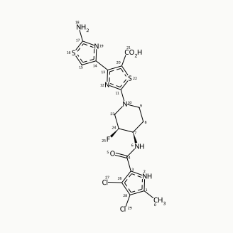 Cc1[nH]c(C(=O)N[C@@H]2CCN(c3nc(-c4csc(N)n4)c(C(=O)O)s3)C[C@@H]2F)c(Cl)c1Cl